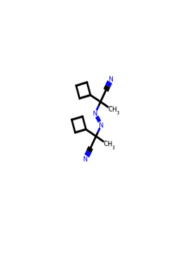 CC(C#N)(N=NC(C)(C#N)C1CCC1)C1CCC1